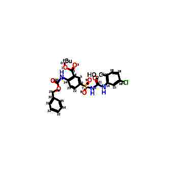 CC(C)(C)OC(=O)c1cc(S(=O)(=O)NC(=O)Nc2cc(Cl)ccc2C(=O)O)ccc1NC(=O)OCc1ccccc1